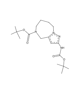 CC(C)(C)OC(=O)Nc1cc2n(n1)CCCCN(C(=O)OC(C)(C)C)C2